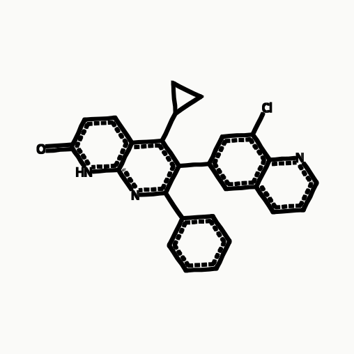 O=c1ccc2c(C3CC3)c(-c3cc(Cl)c4ncccc4c3)c(-c3ccccc3)nc2[nH]1